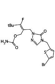 CC(C)(C)/C(F)=C(\COC(N)=O)Cn1ncn(Cc2ccc(Br)s2)c1=O